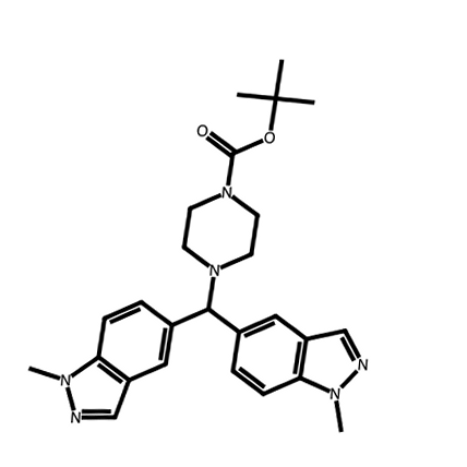 Cn1ncc2cc(C(c3ccc4c(cnn4C)c3)N3CCN(C(=O)OC(C)(C)C)CC3)ccc21